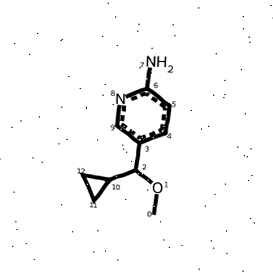 COC(c1ccc(N)nc1)C1CC1